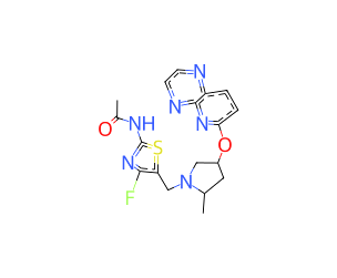 CC(=O)Nc1nc(F)c(CN2CC(Oc3ccc4nccnc4n3)CC2C)s1